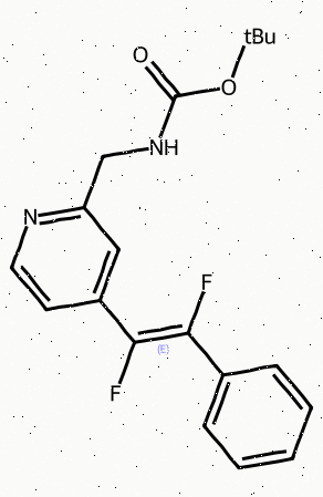 CC(C)(C)OC(=O)NCc1cc(/C(F)=C(\F)c2ccccc2)ccn1